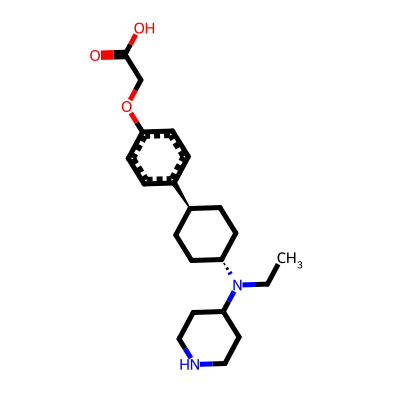 CCN(C1CCNCC1)[C@H]1CC[C@H](c2ccc(OCC(=O)O)cc2)CC1